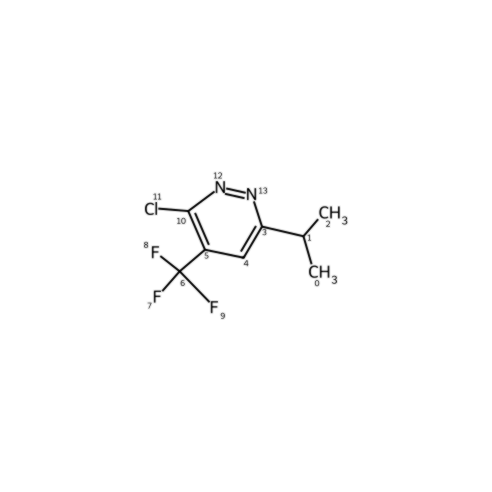 CC(C)c1cc(C(F)(F)F)c(Cl)nn1